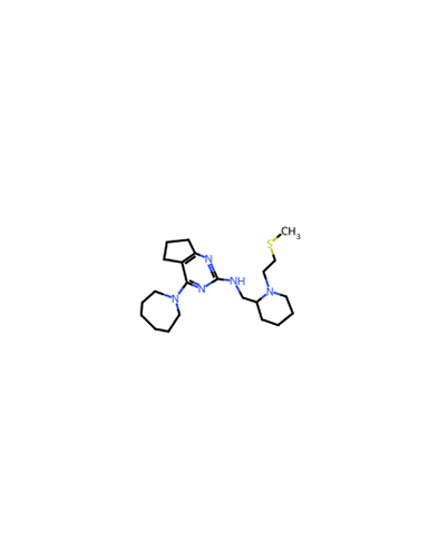 CSCCN1CCCCC1CNc1nc2c(c(N3CCCCCC3)n1)CCC2